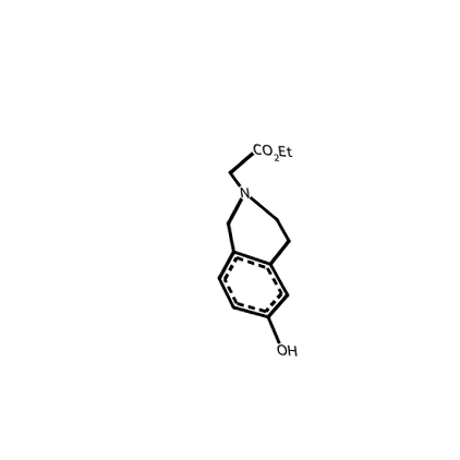 CCOC(=O)CN1CCc2cc(O)ccc2C1